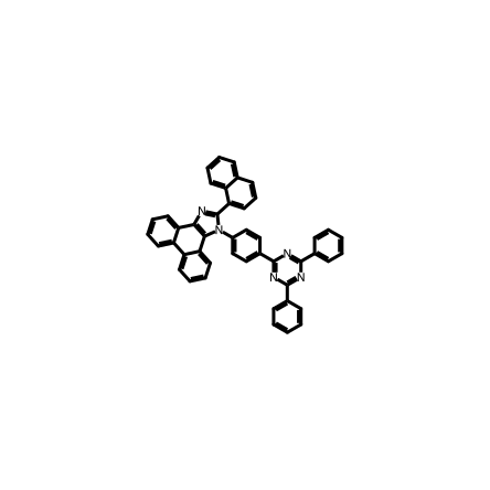 c1ccc(-c2nc(-c3ccccc3)nc(-c3ccc(-n4c(-c5cccc6ccccc56)nc5c6ccccc6c6ccccc6c54)cc3)n2)cc1